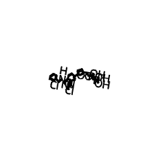 OP(O)CP(O)OCC1CCC(c2ccc3c(NCc4ccccc4Cl)nc(Cl)nc3c2)O1